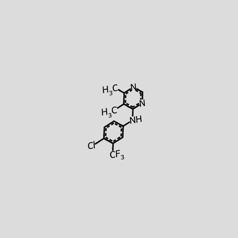 Cc1ncnc(Nc2ccc(Cl)c(C(F)(F)F)c2)c1C